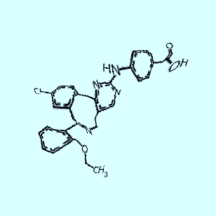 CCOc1ccccc1C1=NCc2cnc(Nc3ccc(C(=O)O)cc3)nc2-c2ccc(Cl)cc21